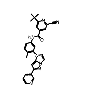 Cc1ccc(NC(=O)c2cc(C#N)nc(C(C)(C)C)c2)cc1-n1ccn2nc(-c3cccnc3)cc12